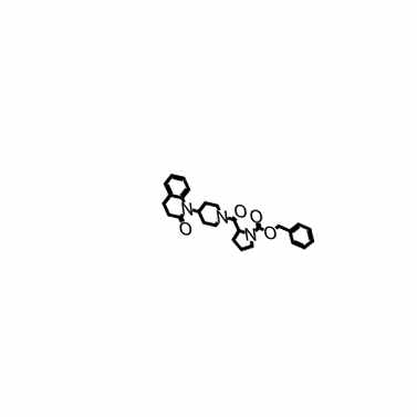 O=C(C1CCCN1C(=O)OCc1ccccc1)N1CCC(N2C(=O)CCc3ccccc32)CC1